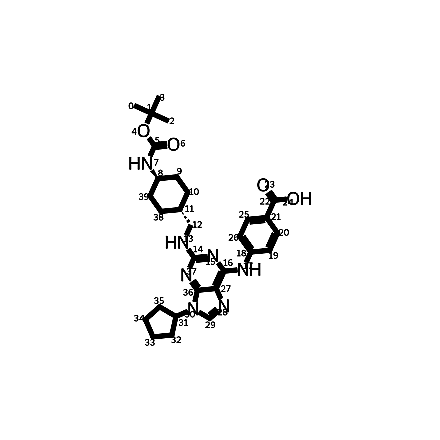 CC(C)(C)OC(=O)N[C@H]1CC[C@H](CNc2nc(Nc3ccc(C(=O)O)cc3)c3ncn(C4CCCC4)c3n2)CC1